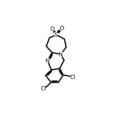 O=S1(=O)CCC2=Nc3cc(Cl)cc(Cl)c3CN2CC1